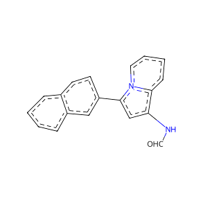 O=CNc1cc(-c2ccc3ccccc3c2)n2ccccc12